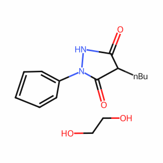 CCCCC1C(=O)NN(c2ccccc2)C1=O.OCCO